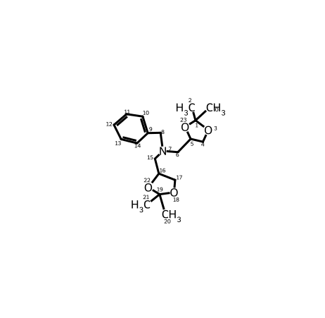 CC1(C)OCC(CN(Cc2ccccc2)CC2COC(C)(C)O2)O1